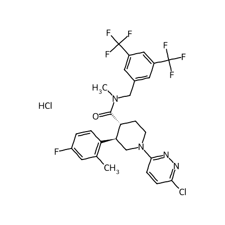 Cc1cc(F)ccc1[C@@H]1CN(c2ccc(Cl)nn2)CC[C@H]1C(=O)N(C)Cc1cc(C(F)(F)F)cc(C(F)(F)F)c1.Cl